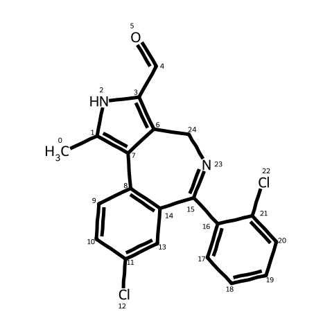 Cc1[nH]c(C=O)c2c1-c1ccc(Cl)cc1C(c1ccccc1Cl)=NC2